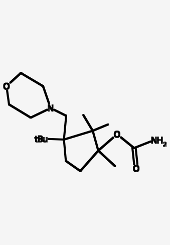 CC(C)(C)C1(CN2CCOCC2)CCC(C)(OC(N)=O)C1(C)C